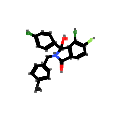 O=C1c2ccc(F)c(Cl)c2C(O)(c2ccc(Cl)cc2)N1Cc1ccc([N+](=O)[O-])cc1